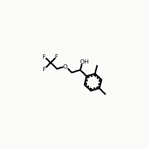 Cc1ccc(C(O)COCC(F)(F)F)c(C)c1